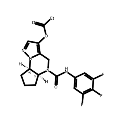 CCC(=O)Oc1cnn2c1CN(C(=O)Nc1cc(F)c(F)c(F)c1)[C@H]1CCC[C@H]12